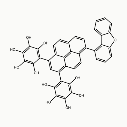 Oc1c(O)c(O)c(-c2cc(-c3c(O)c(O)c(O)c(O)c3O)c3ccc4c(-c5cccc6oc7ccccc7c56)ccc5ccc2c3c54)c(O)c1O